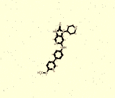 COc1ccc(-c2ccc(Nc3cc4c(cn3)[nH]c(=O)n4C3CCOCC3)cc2)cn1